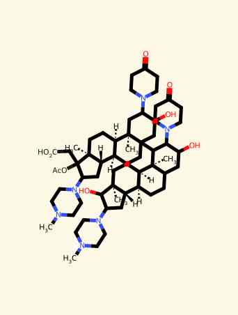 CC(=O)OC1(CC(=O)O)C(N2CCN(C)CC2)C[C@H]2[C@@H]3CCC4(C5C(N6CCC(=O)CC6)C(O)CC6CC[C@@H]7[C@@H](CC[C@]8(C)C(O)C(N9CCN(C)CC9)C[C@@H]78)[C@]65C)CC(O)C(N5CCC(=O)CC5)C[C@]4(C)[C@@H]3CC[C@@]21C